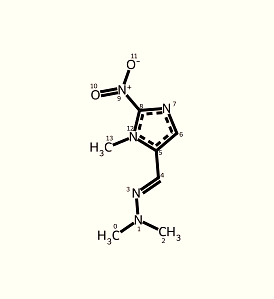 CN(C)N=Cc1cnc([N+](=O)[O-])n1C